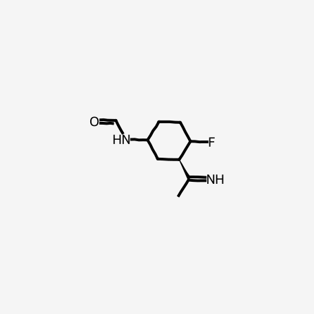 CC(=N)[C@H]1CC(NC=O)CCC1F